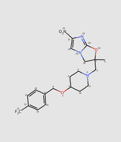 CC1(CN2CCC(OCc3ccc(C(F)(F)F)cc3)CC2)Cn2cc([N+](=O)[O-])nc2O1